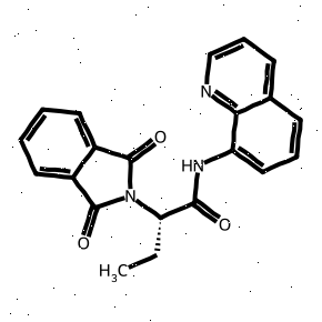 CC[C@@H](C(=O)Nc1cccc2cccnc12)N1C(=O)c2ccccc2C1=O